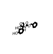 CCC(NC(=O)OCc1ccccc1)(C(=O)O)c1cccc(O)c1